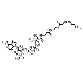 CCCC=C=CCC(=O)SCCNC(=O)CCNC(=O)[C@H](O)C(C)(C)COP(=O)(O)OP(=O)(O)OC[C@H]1O[C@@H](n2cnc3c(N)ncnc32)[C@H](O)[C@@H]1OP(=O)(O)O